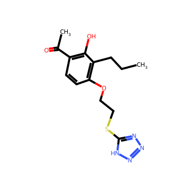 CCCc1c(OCCSc2nnn[nH]2)ccc(C(C)=O)c1O